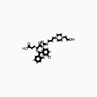 O=C(O)CC[C@@H]1N=C(c2ccccc2F)c2cc(Cl)ccc2-n2c(SCCCN3CCN(CCO)CC3)nnc21